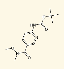 CON(C)C(=O)c1ccc(NC(=O)OC(C)(C)C)nc1